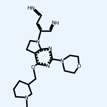 CN1CCCC(COc2nc(N3CCOCC3)nc3c2CCN3/C(C=N)=C/C=N)C1